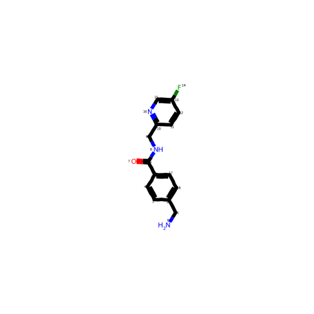 NCc1ccc(C(=O)NCc2ccc(F)cn2)cc1